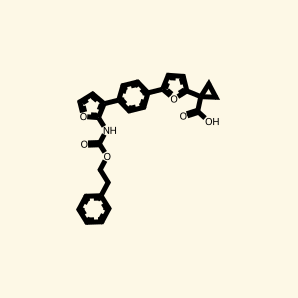 O=C(Nc1occc1-c1ccc(-c2ccc(C3(C(=O)O)CC3)o2)cc1)OCCc1ccccc1